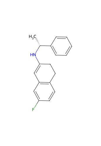 C[C@@H](NC1=Cc2cc(F)ccc2CC1)c1ccccc1